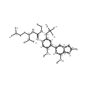 CCN(C(=O)NC(CCC(F)F)C(F)F)[C@@H](c1cc(-c2cn3cc(C)nc3c(OC)n2)c(OC)cn1)C(F)(F)F